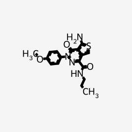 CCCNC(=O)c1nn(-c2ccc(OC)cc2)c(=O)c2c(N)scc12